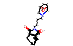 O=C1c2ccccc2C(=O)N1CCCCN1CC2CCC(C1)O2